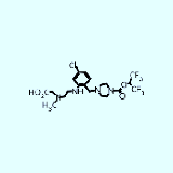 CN(CCNc1cc(Cl)ccc1CN1CCN(C(=O)OC(C(F)(F)F)C(F)(F)F)CC1)CC(=O)O